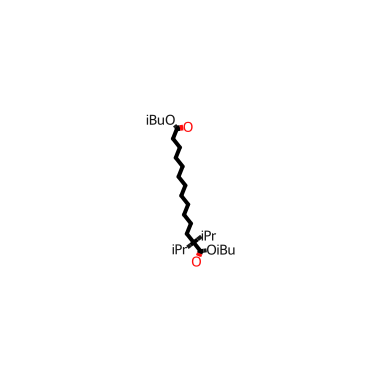 CC(C)COC(=O)CCCCCCCCCCCC(C(=O)OCC(C)C)(C(C)C)C(C)C